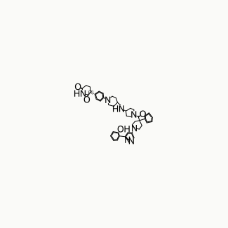 O=C1CC[C@H](c2ccc(N3CCC(CNC4CCN(C(=O)C5(c6ccccc6)CCN(c6cnnc(-c7ccccc7O)c6)CC5)CC4)CC3)cc2)C(=O)N1